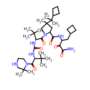 CC(C)(C)[C@H](NC(=O)N[C@@H](C(=O)N1CC(C)(C(C)(C)C2CCC2)CC1C(=O)NC(CC1CCC1)C(=O)C(N)=O)C(C)(C)C)C(=O)N1CCNCC1(C)C